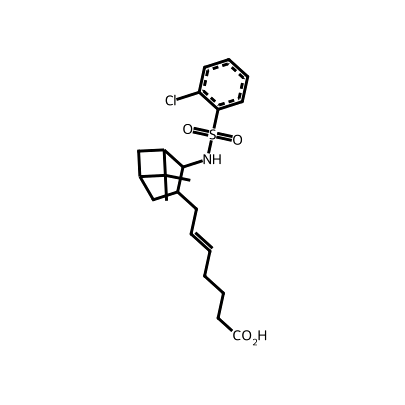 CC1(C)C2CC(C/C=C/CCCC(=O)O)C(NS(=O)(=O)c3ccccc3Cl)C1C2